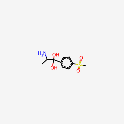 CC(N)C(O)(O)c1ccc(S(C)(=O)=O)cc1